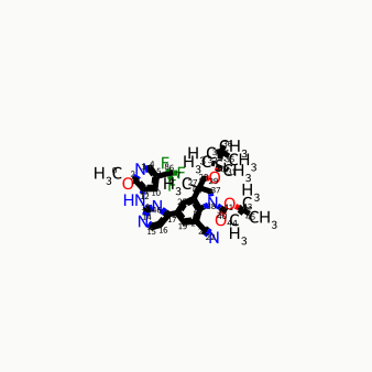 COc1ncc(C(F)(F)F)cc1Nc1nccc(-c2cc(C#N)c3c(c2)[C@@](C)(CO[Si](C)(C)C(C)(C)C)CN3C(=O)OC(C)(C)C)n1